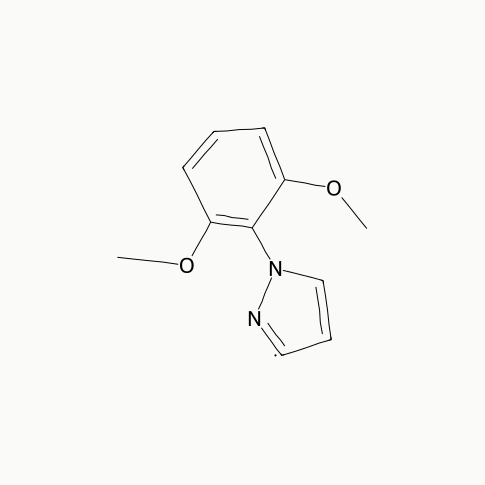 COc1cccc(OC)c1-n1cc[c]n1